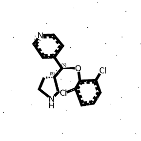 Clc1cccc(Cl)c1O[C@H](c1ccncc1)[C@H]1CCNC1